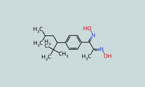 CC(=N\O)/C(=N/O)c1ccc(C(CC(C)C)C(C)(C)C)cc1